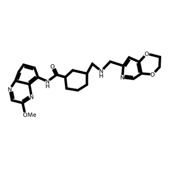 COc1cnc2cccc(NC(=O)C3CCCC(CNCc4cc5c(cn4)OCCO5)C3)c2n1